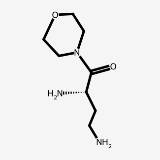 NCC[C@H](N)C(=O)N1CCOCC1